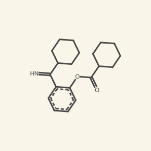 N=C(c1ccccc1OC(=O)C1CCCCC1)C1CCCCC1